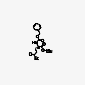 CCC(=O)CC[C@H](NC(=O)OCc1ccccc1)C(=O)OC(C)(C)C